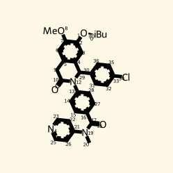 CC[C@@H](C)Oc1cc2c(cc1OC)CC(=O)N(c1ccc(C(=O)N(C)c3ccncc3)cc1)C2c1ccc(Cl)cc1